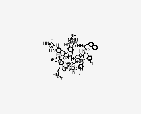 CC(=O)N[C@H](Cc1ccc2ccccc2c1)C(=O)N[C@H](Cc1ccc(Cl)cc1)C(=O)N[C@H](Cc1cccnc1)C(=O)N[C@@H](CO)C(=O)N(C)[C@@H](Cc1ccc(Nc2nc(=N)[nH][nH]2)cc1)C(=O)N[C@H](Cc1ccc(Nc2nc(=N)[nH][nH]2)cc1)C(=O)N[C@@H](CC(C)C)C(=O)N[C@@H](CCCCNC(C)C)C(=O)N1CCC[C@H]1C(=O)N[C@H](C)C(N)=O